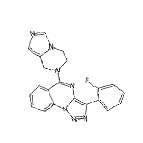 Fc1ccccc1-c1nnn2c1nc(N1CCn3cncc3C1)c1ccccc12